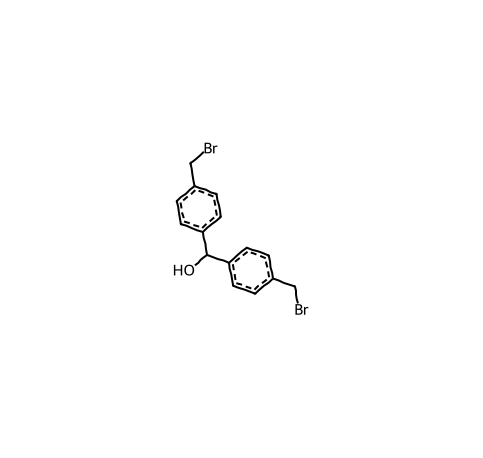 OC(c1ccc(CBr)cc1)c1ccc(CBr)cc1